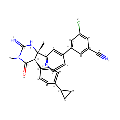 CN1C(=N)N[C@](C)(c2cc(-c3cc(Cl)cc(C#N)c3)ccn2)[C@@H](c2ccc(C3CC3)cc2)C1=O